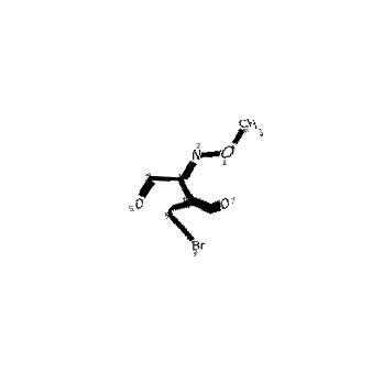 CON=C(C=O)C(=O)CBr